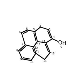 OC1=CCc2ccc3cccc4c3c2C1=CC4